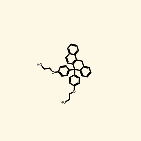 OCCOc1ccc(C2(c3ccc(OCCO)cc3)c3ccccc3Cc3c2ccc2ccccc32)cc1